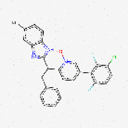 N#Cc1ccc2[nH]c(C(Cc3ccccc3)c3ccc(-c4c(F)ccc(Cl)c4F)c[n+]3O)nc2c1